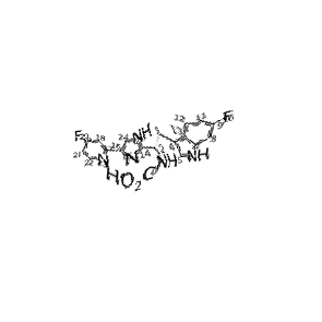 O=C(O)N[C@@H](Cc1c[nH]c2cc(F)ccc12)c1nc(-c2cc(F)ccn2)c[nH]1